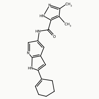 Cc1n[nH]c(C(=O)Nc2cnc3[nH]c(C4=CCCCC4)cc3c2)c1C